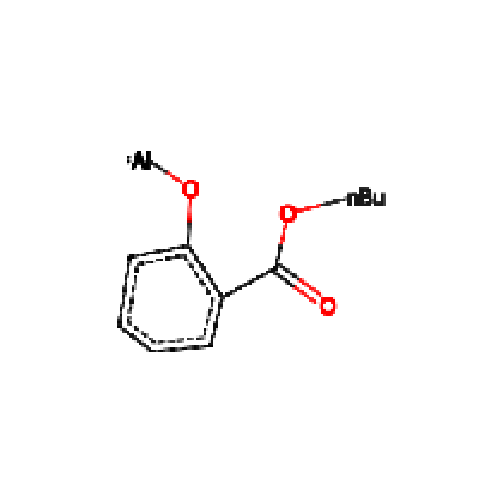 CCCCOC(=O)c1ccccc1[O][Al]